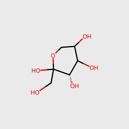 OCC1(O)OCC(O)C(O)[C@@H]1O